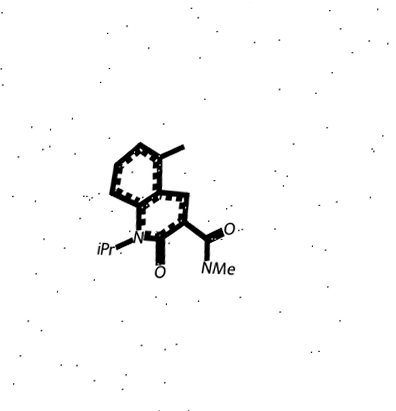 CNC(=O)c1cc2c(C)cccc2n(C(C)C)c1=O